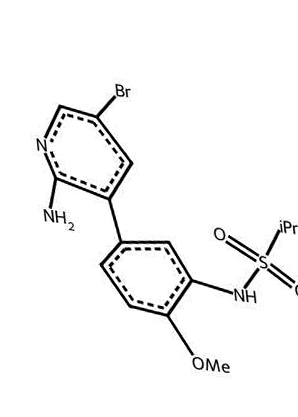 COc1ccc(-c2cc(Br)cnc2N)cc1NS(=O)(=O)C(C)C